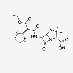 CCOC(=O)C(C(=O)NC1C(=O)N2C1SC(C)(C)C2C(=O)O)=C1SCCS1